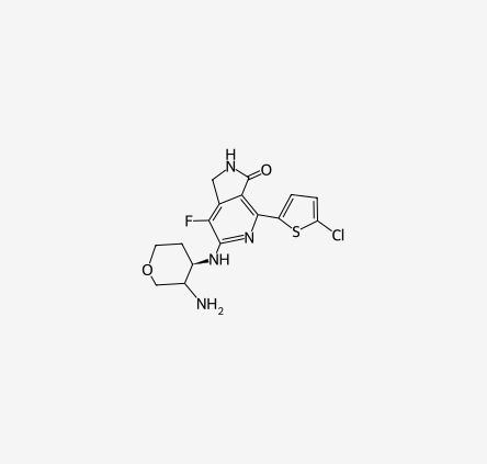 NC1COCC[C@H]1Nc1nc(-c2ccc(Cl)s2)c2c(c1F)CNC2=O